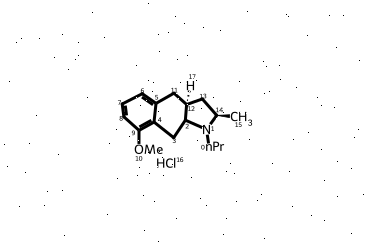 CCCN1C2Cc3c(cccc3OC)C[C@H]2C[C@H]1C.Cl